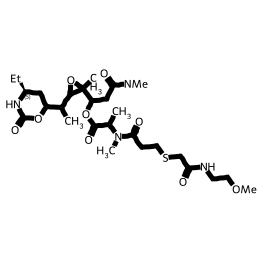 CC[C@H]1CC(C(C)C2OC2(C)C(CC(=O)NC)OC(=O)C(C)N(C)C(=O)CCSCC(=O)NCCOC)OC(=O)N1